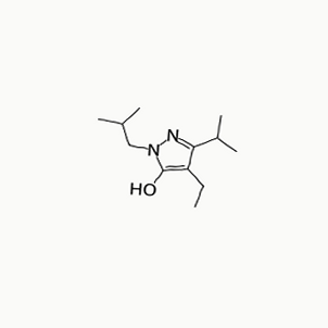 CCc1c(C(C)C)nn(CC(C)C)c1O